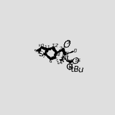 C[C@H](C(=O)c1ccc2sccc2c1)N(C)C(=O)OC(C)(C)C